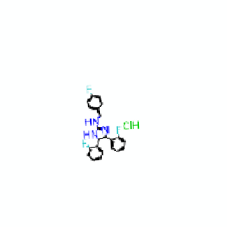 Cl.Fc1ccc(CNC2=NC(c3ccccc3F)C(c3ccccc3F)N2)cc1